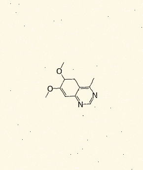 COC1=Cc2ncnc(C)c2CC1OC